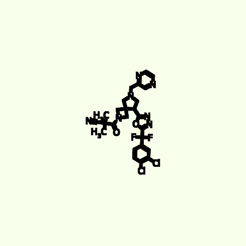 CC(C)(C#N)C(=O)N1CC2(CN(Cc3cnccn3)CC2c2nnc(C(F)(F)c3ccc(Cl)c(Cl)c3)o2)C1